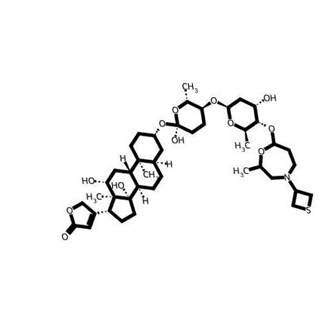 CC1CN(C2CSC2)CCC(O[C@H]2[C@@H](O)C[C@H](O[C@H]3CC[C@@](O)(O[C@H]4CC[C@@]5(C)[C@H](CC[C@@H]6[C@@H]5C[C@@H](O)[C@]5(C)[C@@H](C7=CC(=O)OC7)CC[C@]65O)C4)O[C@@H]3C)O[C@@H]2C)O1